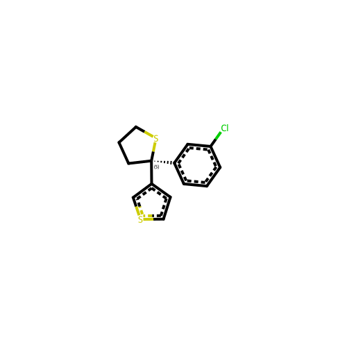 Clc1cccc([C@]2(c3ccsc3)CCCS2)c1